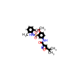 COc1ccc(NC(=O)c2cc(C(C)C)on2)cc1S(=O)(=O)Nc1c(C)cccc1C